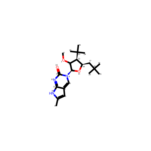 COC1[C@H](n2cc3cc(C)[nH]c3nc2=O)O[C@H](CC(C)(C)C)[C@@H]1C(C)(C)C